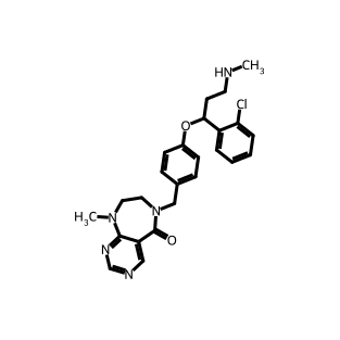 CNCCC(Oc1ccc(CN2CCN(C)c3ncncc3C2=O)cc1)c1ccccc1Cl